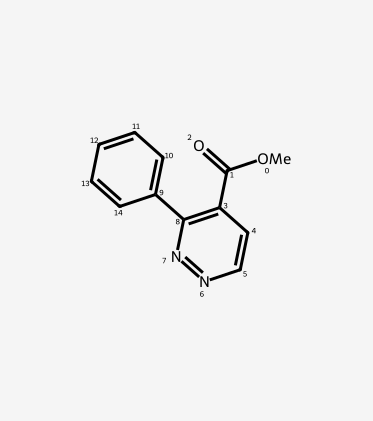 COC(=O)c1ccnnc1-c1ccccc1